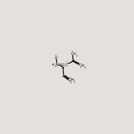 C=C(C)C(=O)O.C=CC[NH2+][O-]